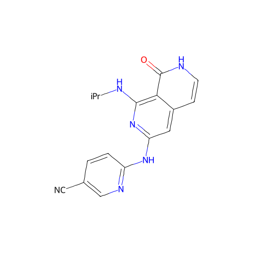 CC(C)Nc1nc(Nc2ccc(C#N)cn2)cc2cc[nH]c(=O)c12